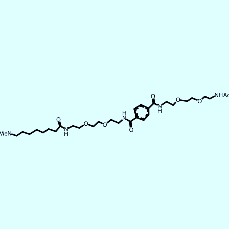 CNCCCCCCCC(=O)NCCOCCOCCNC(=O)c1ccc(C(=O)NCCOCCOCCNC(C)=O)cc1